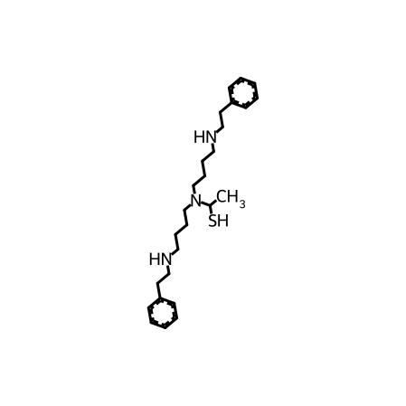 CC(S)N(CCCCNCCc1ccccc1)CCCCNCCc1ccccc1